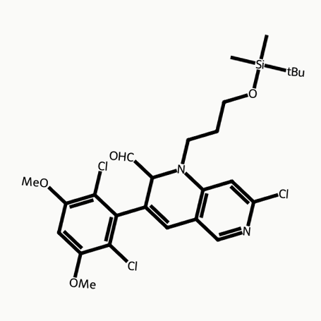 COc1cc(OC)c(Cl)c(C2=Cc3cnc(Cl)cc3N(CCCO[Si](C)(C)C(C)(C)C)C2C=O)c1Cl